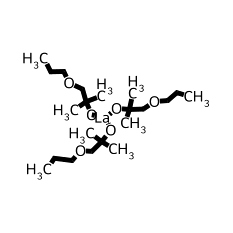 CCCOCC(C)(C)[O][La]([O]C(C)(C)COCCC)[O]C(C)(C)COCCC